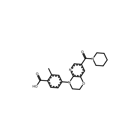 Cc1cc(N2CCOc3cc(C(=O)N4CCCCC4)cnc32)ccc1C(=O)O